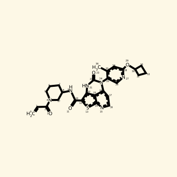 C=CC(=O)N1CCCC(NC(=O)c2sc3nccc4c3c2NC(=O)N4c2cnc(OC3CCC3)cc2C)C1